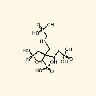 O=P(O)(O)CNCC(CP(=O)(O)O)(CP(=O)(O)O)NCP(=O)(O)O